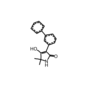 CC1(C)NC(=O)C(c2cccc(-c3ccccc3)c2)=C1O